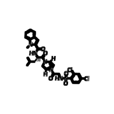 CC(C)C[C@H](NC(=O)c1cc2ccccc2n1C)C(=O)N1C[C@@H]2C[C@H]1CN2C(=O)CNS(=O)(=O)c1ccc(Cl)cc1Cl